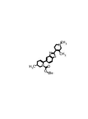 CC1=C(c2nc3cc(C4=CC[C@H](C)CN4C(=O)OC(C)(C)C)ccc3s2)CCN(C)C1